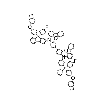 Fc1ccc(C2(c3ccc(Oc4ccc5c(c4)CC5)cc3)c3ccccc3-c3ccc(N(c4ccc(-c5ccc(N(c6ccc7c(c6)C(c6ccc(F)cc6)(c6ccc(Oc8ccc9c(c8)CC9)cc6)c6ccccc6-7)c6cccc7c6oc6ccccc67)cc5)cc4)c4cccc5c4oc4ccccc45)cc32)cc1